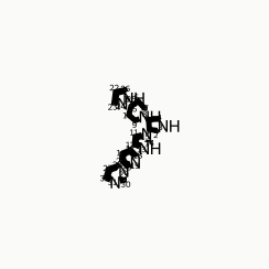 C1CCNC1.C1CCNCC1.c1c[nH]cn1.c1ccncc1.c1cn[nH]c1.c1cncnc1